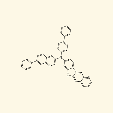 c1ccc(-c2ccc(N(c3ccc4cc(-c5ccccc5)ccc4c3)c3ccc4c(c3)oc3cc5cccnc5cc34)cc2)cc1